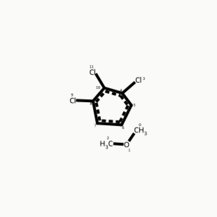 COC.Clc1cccc(Cl)c1Cl